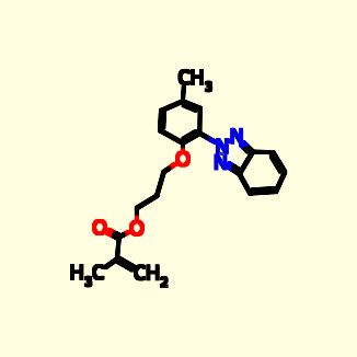 C=C(C)C(=O)OCCCOc1ccc(C)cc1-n1nc2ccccc2n1